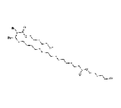 CC(C)CCCCCOC(=O)CCCCCCCCCCCCCCCCC(C(C)C)C(C(=O)OCCCCCC(C)C)C(C)C